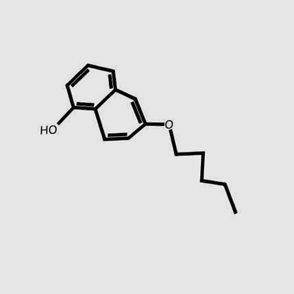 CCCCCOc1ccc2c(O)cccc2c1